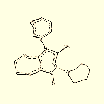 O=c1c(N2CCCC2)c(O)n(-c2ccccc2)c2ncccc12